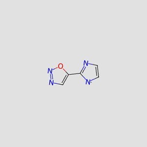 C1=CN=C(c2cnno2)[N]1